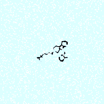 CC(C)(CCCC(=O)N1CCc2c(n(Cc3ncccc3F)c3ncccc23)C1)C(=O)O